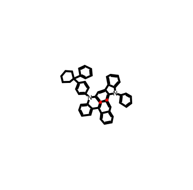 c1ccc(-n2c3ccccc3c3cc(N(c4ccc(C5(c6ccccc6)CCCCC5)cc4)c4ccccc4-c4cccc5ccccc45)ccc32)cc1